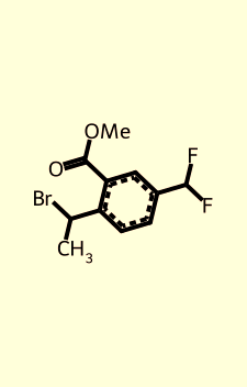 COC(=O)c1cc(C(F)F)ccc1C(C)Br